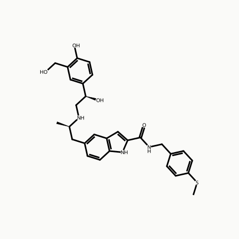 CSc1ccc(CNC(=O)c2cc3cc(C[C@@H](C)NC[C@H](O)c4ccc(O)c(CO)c4)ccc3[nH]2)cc1